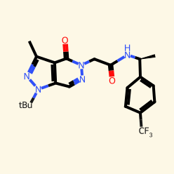 Cc1nn(C(C)(C)C)c2cnn(CC(=O)N[C@@H](C)c3ccc(C(F)(F)F)cc3)c(=O)c12